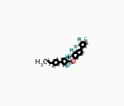 CCCc1ccc(-c2cc(F)c(C(F)(F)Oc3cc4ccc(-c5ccc(F)c(F)c5)c(F)c4c(F)c3F)c(F)c2)cc1